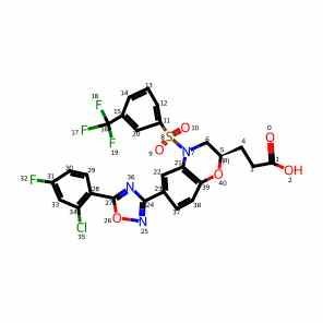 O=C(O)CC[C@@H]1CN(S(=O)(=O)c2cccc(C(F)(F)F)c2)c2cc(-c3noc(-c4ccc(F)cc4Cl)n3)ccc2O1